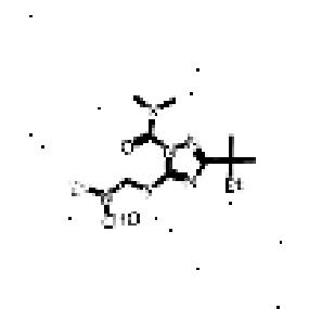 CCN(C=O)CSc1nc(C(C)(C)CC)nn1C(=O)N(C)C